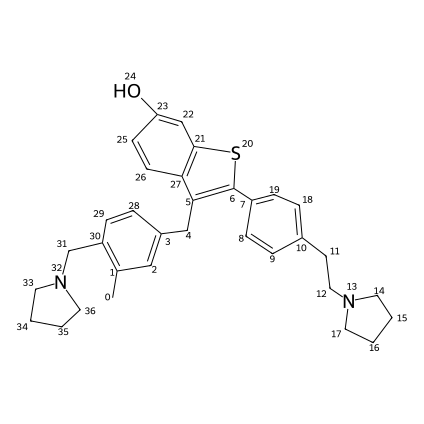 Cc1cc(Cc2c(-c3ccc(CCN4CCCC4)cc3)sc3cc(O)ccc23)ccc1CN1CCCC1